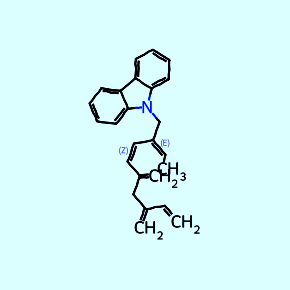 C=CC(=C)CC(=C)/C=C\C(=C/C)Cn1c2ccccc2c2ccccc21